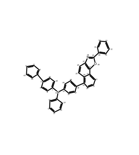 c1ccc(-c2ccc(N(c3ccccc3)c3ccc(-c4cccc5c4ccc4nc(-c6ccccc6)oc45)cc3)cc2)cc1